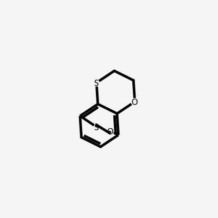 c1cc2c3c(c1OCCS2)OCCS3